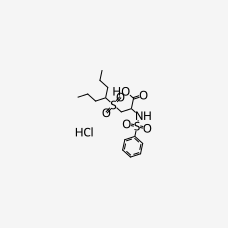 CCCC(CCC)S(=O)(=O)CC(NS(=O)(=O)c1ccccc1)C(=O)O.Cl